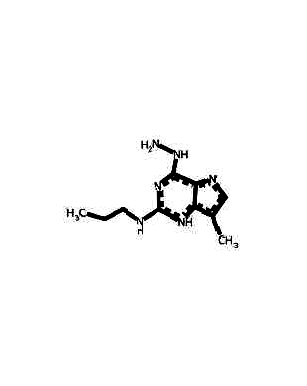 CCCNc1nc(NN)c2ncc(C)c-2[nH]1